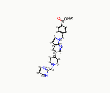 COC(=O)c1ccc(Cn2ccc3cc(C4CCN(Cc5ncccn5)CC4)cnc32)cc1